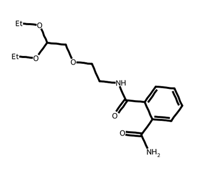 CCOC(COCCNC(=O)c1ccccc1C(N)=O)OCC